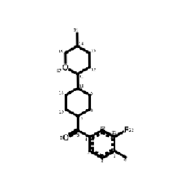 Cc1ccc(C(=O)C2CCC(C3CCC(C)CO3)CC2)cc1F